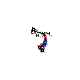 CCc1ccccc1COCCCCCC[N+](C)(C)CCOCCN1CCC(OC(=O)Nc2ccccc2-c2ccccc2)CC1